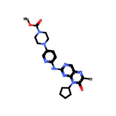 CCc1nc2cnc(Nc3ccc(N4CCN(C(=O)OC(C)(C)C)CC4)cn3)nc2n(C2CCCC2)c1=O